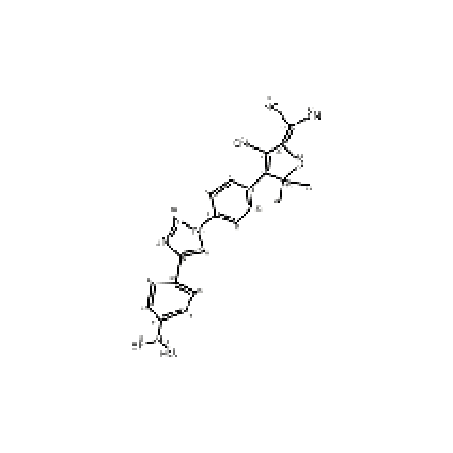 [C-]#[N+]C1=C(c2ccc(-n3cc(-c4ccc(N(CC)CC)cc4)nn3)cc2)C(C)(C)OC1=C(C#N)C#N